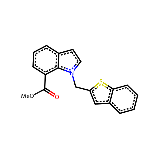 COC(=O)c1cccc2ccn(Cc3cc4ccccc4s3)c12